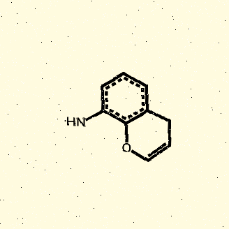 [NH]c1cccc2c1OC=CC2